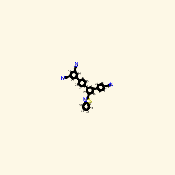 N#Cc1ccc(-c2cc(-c3ccc(-c4cc(C#N)cc(C#N)c4)cc3)cc(-c3nc4ccccc4s3)c2)cc1